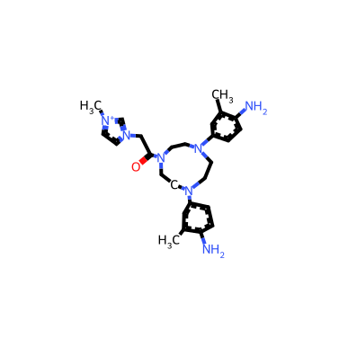 Cc1cc(N2CCN(C(=O)Cn3cc[n+](C)c3)CCN(c3ccc(N)c(C)c3)CC2)ccc1N